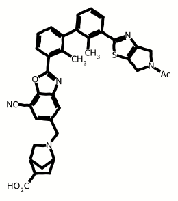 CC(=O)N1Cc2nc(-c3cccc(-c4cccc(-c5nc6cc(CN7CC8CC7CC8C(=O)O)cc(C#N)c6o5)c4C)c3C)sc2C1